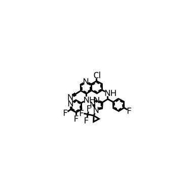 N#Cc1cnc2c(Cl)cc(NC(c3ccc(F)cc3)c3cn(C4(C(F)(F)F)CC4)nn3)cc2c1Nc1cnc(F)c(F)c1